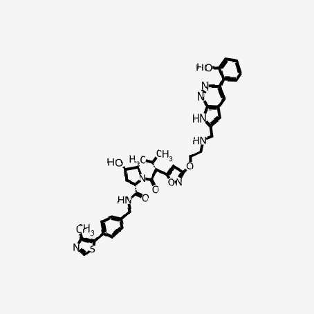 Cc1ncsc1-c1ccc(CNC(=O)[C@@H]2C[C@@H](O)CN2C(=O)[C@@H](c2cc(OCCNCc3cc4cc(-c5ccccc5O)nnc4[nH]3)no2)C(C)C)cc1